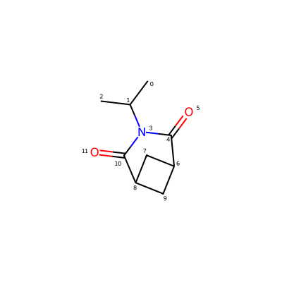 CC(C)N1C(=O)C2CC(C2)C1=O